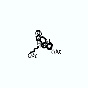 CC(=O)OCCCCC[C@@H]1Cc2cc(OC(C)=O)ccc2[C@H]2CC[C@@]3(C)[C@@H](CCC34OCCO4)[C@H]12